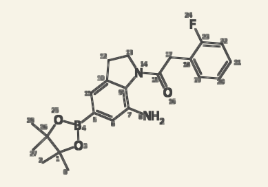 CC1(C)OB(c2cc(N)c3c(c2)CCN3C(=O)Cc2ccccc2F)OC1(C)C